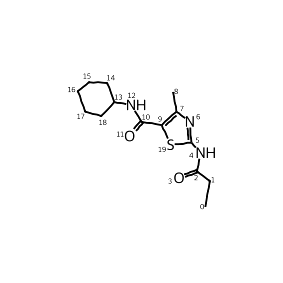 CCC(=O)Nc1nc(C)c(C(=O)NC2CCCCC2)s1